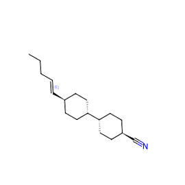 CCC/C=C/[C@H]1CC[C@H]([C@H]2CC[C@H](C#N)CC2)CC1